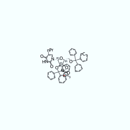 CCCc1cn([C@@H]2O[C@H](COC(c3ccccc3)(c3ccccc3)c3ccccc3)[C@@H](OS(C)(=O)=O)[C@H]2OC(c2ccccc2)(c2ccccc2)c2ccccc2)c(=O)[nH]c1=O